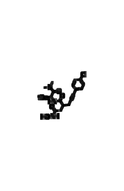 CN(C)C(=O)[C@@H](NC(=O)C(CC#Cc1ccc(Cl)cc1)CC(=O)NO)C(C)(C)C